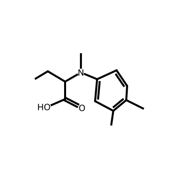 CCC(C(=O)O)N(C)c1ccc(C)c(C)c1